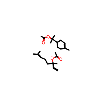 C=CC(C)(CCC=C(C)C)OC(C)=O.CC(=O)OC(C)(C)C1CC=C(C)CC1